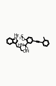 Cc1ccccc1C#Cc1ccc(OC(F)(F)F)c(C(=O)NC(CO)Cc2c[nH]c3ccccc23)c1